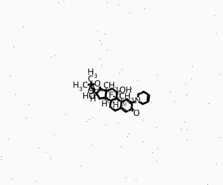 CC1(C)O[C@@H]2C[C@H]3[C@@H]4CCC5=CC(=O)C(N6CC=CCC6)=C[C@]5(C)[C@@]4(F)[C@@H](O)C[C@]3(C)[C@]2(C(=O)O)O1